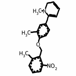 Cc1cc(C2=CC=CCN2C)ccc1OCc1c(C)cccc1[N+](=O)[O-]